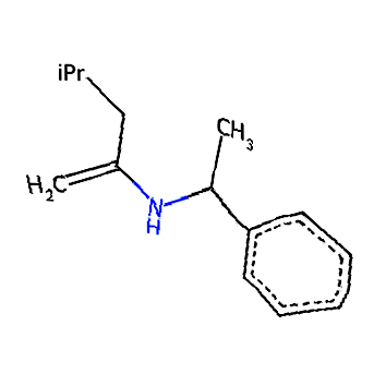 C=C(CC(C)C)NC(C)c1ccccc1